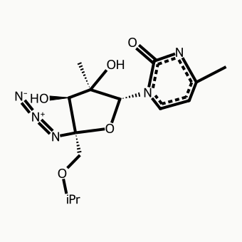 Cc1ccn([C@@H]2O[C@@](COC(C)C)(N=[N+]=[N-])[C@@H](O)[C@@]2(C)O)c(=O)n1